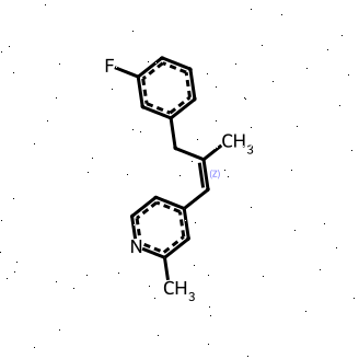 C/C(=C/c1ccnc(C)c1)Cc1cccc(F)c1